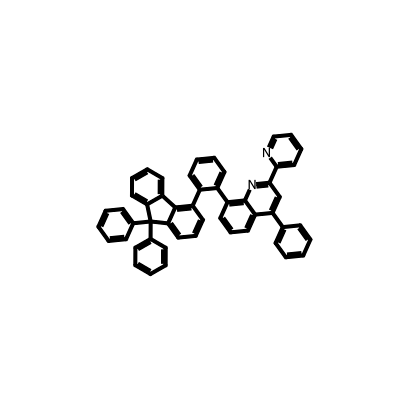 c1ccc(-c2cc(-c3ccccn3)nc3c(-c4ccccc4-c4cccc5c4-c4ccccc4C5(c4ccccc4)c4ccccc4)cccc23)cc1